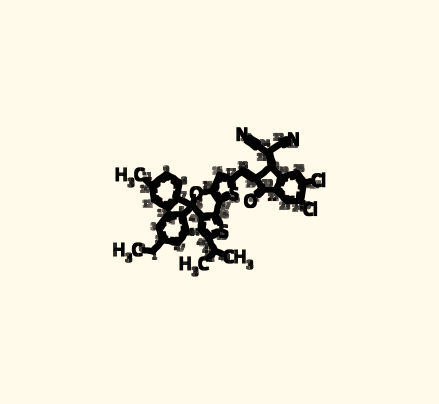 CCc1ccc(C2(c3ccc(C)cc3)Oc3cc(/C=C4\C(=O)c5cc(Cl)c(Cl)cc5C4=C(C#N)C#N)sc3-c3sc(C(C)C)cc32)cc1